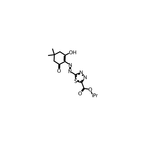 CC(C)OC(=O)c1nnc(N=NC2=C(O)CC(C)(C)CC2=O)s1